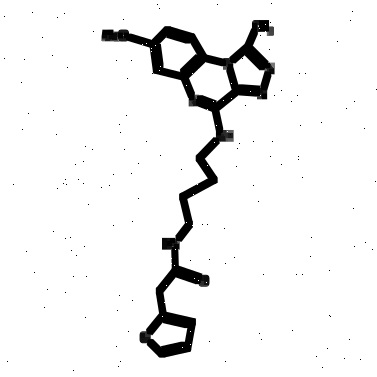 COc1ccc2c(c1)nc(NCCCCNC(=O)Cc1ccco1)c1nnc(C)n12